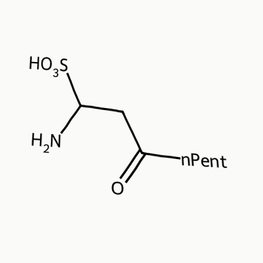 CCCCCC(=O)CC(N)S(=O)(=O)O